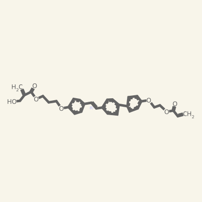 C=CC(=O)OCCOc1ccc(-c2ccc(/C=C/c3ccc(OCCCOC(=O)C(=C)CO)cc3)cc2)cc1